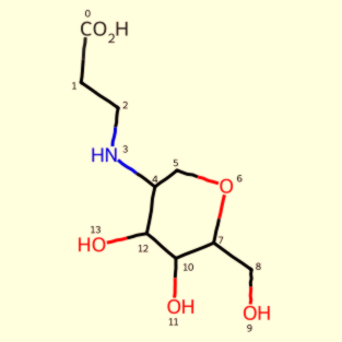 O=C(O)CCNC1COC(CO)C(O)C1O